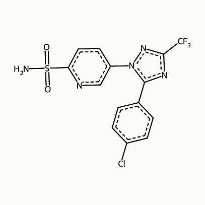 NS(=O)(=O)c1ccc(-n2nc(C(F)(F)F)nc2-c2ccc(Cl)cc2)cn1